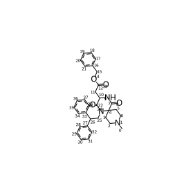 CN1CCC2(CC1)C(=O)NC(CC(=O)OCc1ccccc1)C(=O)N2CC(c1ccccc1)c1ccccc1